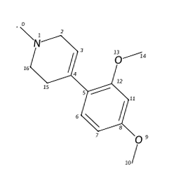 [CH2]N1CC=C(c2ccc(OC)cc2OC)CC1